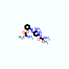 C[C@H](N)C(=O)Nc1ccc(/N=N/c2ccccc2OC(=O)[C@H](C)N)c(N)n1